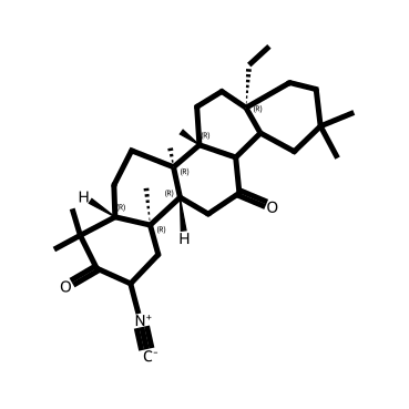 [C-]#[N+]C1C[C@]2(C)[C@H]3CC(=O)C4C5CC(C)(C)CC[C@]5(CC)CC[C@@]4(C)[C@]3(C)CC[C@H]2C(C)(C)C1=O